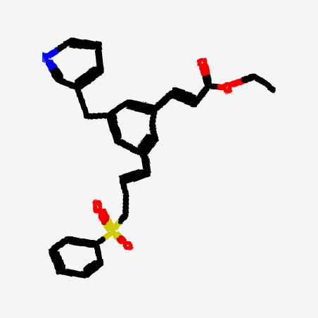 CCOC(=O)C=Cc1cc(C=CCS(=O)(=O)c2ccccc2)cc(Cc2cccnc2)c1